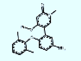 Cc1cccc(C)c1Oc1ccc(N)cc1-c1cn(C)c(=O)cc1OC(C)C